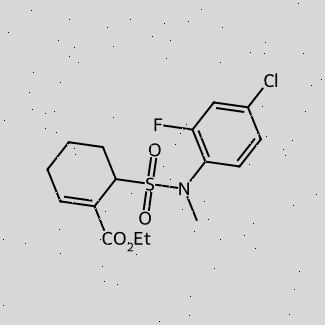 CCOC(=O)C1=CCCCC1S(=O)(=O)N(C)c1ccc(Cl)cc1F